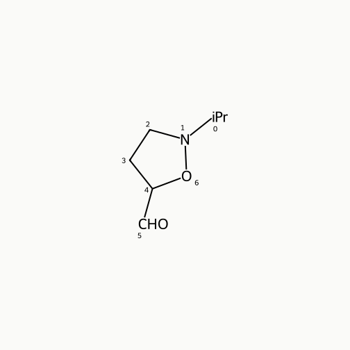 CC(C)N1CCC(C=O)O1